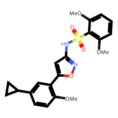 COc1ccc(C2CC2)cc1-c1cc(NS(=O)(=O)c2c(OC)cccc2OC)no1